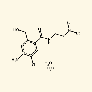 CCN(CC)CCNC(=O)c1cc(Cl)c(N)cc1CO.O.O